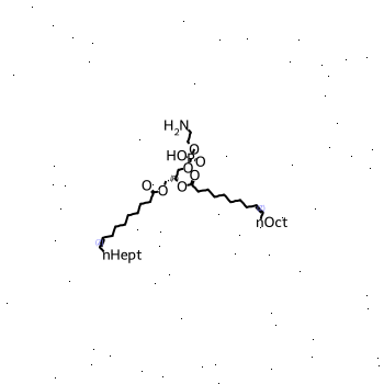 CCCCCCC/C=C\CCCCCCCC(=O)OC[C@H](COP(=O)(O)OCCN)OC(=O)CCCCCCC/C=C\CCCCCCCC